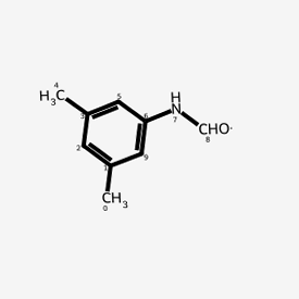 Cc1cc(C)cc(N[C]=O)c1